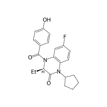 CC[C@@H]1C(=O)N(C2CCCC2)c2ccc(F)cc2N1C(=O)c1ccc(O)cc1